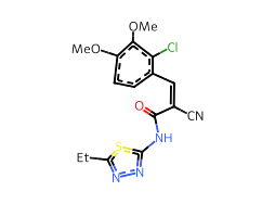 CCc1nnc(NC(=O)C(C#N)=Cc2ccc(OC)c(OC)c2Cl)s1